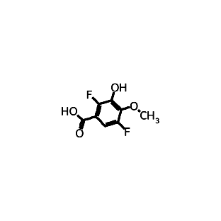 COc1c(F)cc(C(=O)O)c(F)c1O